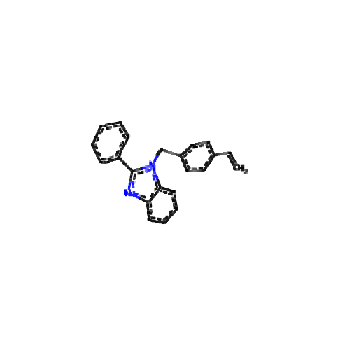 C=Cc1ccc(Cn2c(-c3ccccc3)nc3ccccc32)cc1